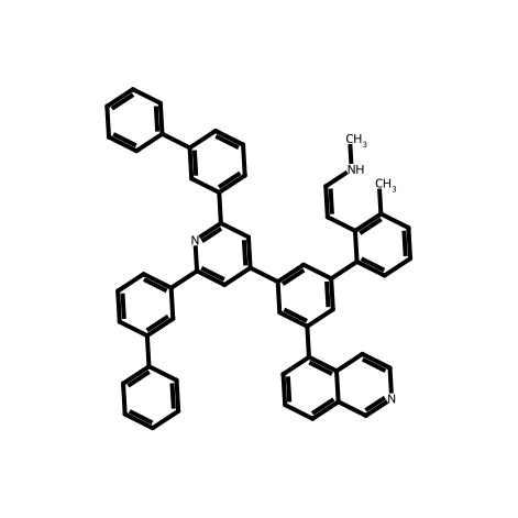 CN/C=C\c1c(C)cccc1-c1cc(-c2cc(-c3cccc(-c4ccccc4)c3)nc(-c3cccc(-c4ccccc4)c3)c2)cc(-c2cccc3cnccc23)c1